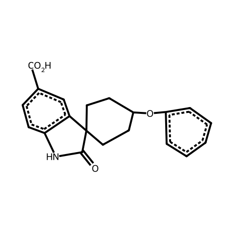 O=C(O)c1ccc2c(c1)C1(CCC(Oc3ccccc3)CC1)C(=O)N2